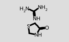 N=C(N)N.O=C1CSCN1